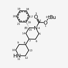 CC(C)(C)OC(=O)N1CCC(C2CCNCC2)C[C@@H]1c1ccccc1